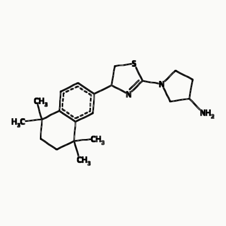 CC1(C)CCC(C)(C)c2cc(C3CSC(N4CCC(N)C4)=N3)ccc21